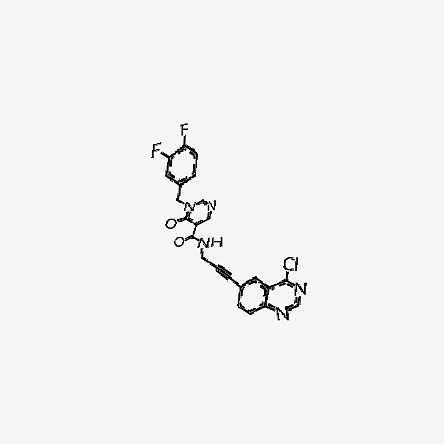 O=C(NCC#Cc1ccc2ncnc(Cl)c2c1)c1cncn(Cc2ccc(F)c(F)c2)c1=O